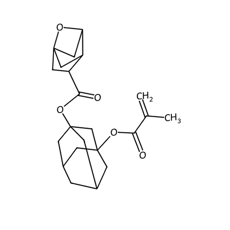 C=C(C)C(=O)OC12CC3CC(C1)CC(OC(=O)C1CC45CC(O4)C1C5)(C3)C2